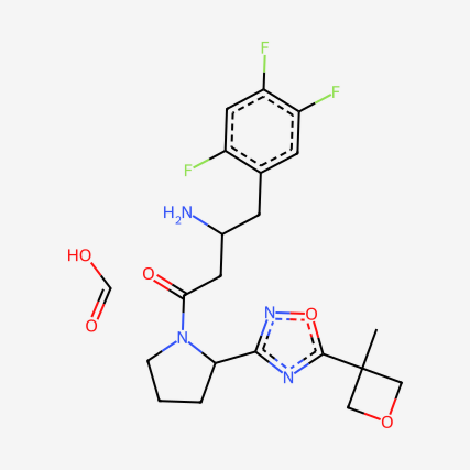 CC1(c2nc(C3CCCN3C(=O)CC(N)Cc3cc(F)c(F)cc3F)no2)COC1.O=CO